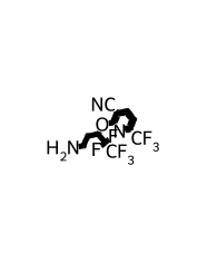 N#Cc1ccc(C(F)(F)F)nc1OC(CCN)C(F)(F)C(F)(F)F